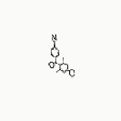 COc1cc(C)c(C(=O)c2ccc(C#N)cc2)c(C)c1